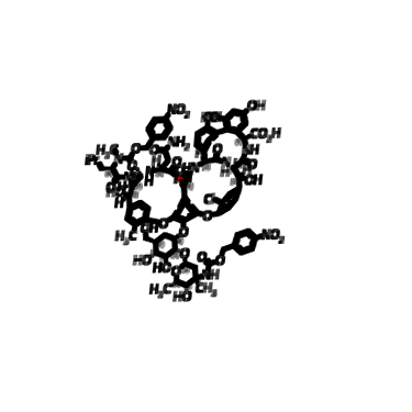 Cc1cc2ccc1Oc1cc3cc(c1O[C@@H]1C[C@H](CO)[C@@H](O)[C@H](O)[C@H]1O[C@H]1C[C@](C)(NC(=O)OCc4ccc([N+](=O)[O-])cc4)[C@H](O)[C@H](C)O1)Oc1ccc(cc1Cl)[C@@H](O)[C@@H]1NC(=O)[C@H](NC(=O)[C@@H]3NC(=O)[C@H](CC(N)=O)NC(=O)[C@H](NC(=O)[C@@H](CC(C)C)N(C)C(=O)OCc3ccc([N+](=O)[O-])cc3)[C@@H]2O)c2ccc(O)c(c2)-c2c(O)cc(O)cc2[C@@H](C(=O)O)NC1=O